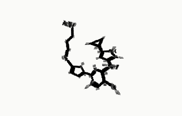 CC(=O)NCCCSc1ccc(-c2ncc(Br)c(Nc3cc(C4CC4)[nH]n3)n2)s1